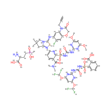 C#CCN1C(=O)COc2cc(F)c(/N=c3\snc4n3CC(C)(C)C4)cc21.COc1cc(OC)nc(NC(=O)NS(=O)(=O)c2ncccc2C(=O)N(C)C)n1.CP(=O)(O)CCC(N)C(=O)O.O=C(Nc1nc(OC(F)F)cc(OC(F)F)n1)NS(=O)(=O)c1ccccc1C(=O)O